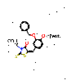 CCCCCOc1ccc(C=C2SC(=S)N(CC(=O)O)C2=O)cc1OCc1ccccc1